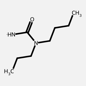 CCCCN(CCC)C([NH])=O